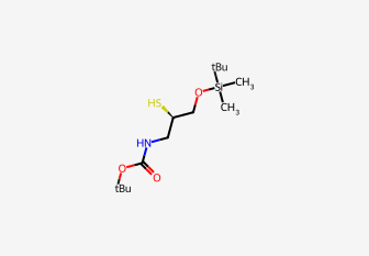 CC(C)(C)OC(=O)NC[C@@H](S)CO[Si](C)(C)C(C)(C)C